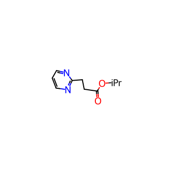 CC(C)OC(=O)CCc1ncccn1